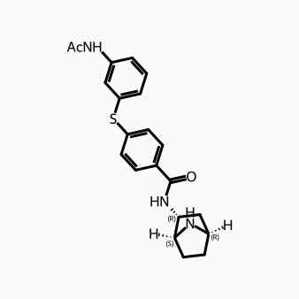 CC(=O)Nc1cccc(Sc2ccc(C(=O)N[C@@H]3C[C@H]4CC[C@@H]3N4)cc2)c1